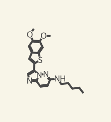 CCCCCNc1ccc2ncc(-c3cc4cc(OC)c(OC)cc4s3)n2n1